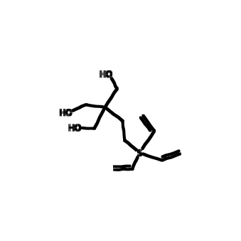 C=CS(C=C)(C=C)CCC(CO)(CO)CO